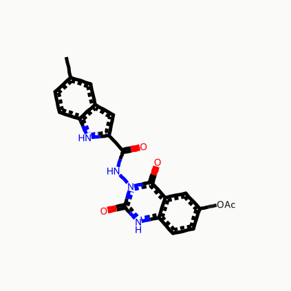 CC(=O)Oc1ccc2[nH]c(=O)n(NC(=O)c3cc4cc(C)ccc4[nH]3)c(=O)c2c1